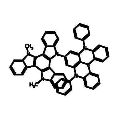 Cn1c2ccccc2c2c1c1c3ccccc3n(-c3cc4c5c(c3)N(c3ccccc3)c3ccccc3B5c3ccccc3N4c3ccccc3)c1c1c3ccccc3n(C)c21